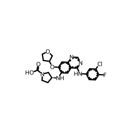 O=C(O)N1CC[C@H](Nc2cc3c(Nc4ccc(F)c(Cl)c4)ncnc3cc2OC2CCOC2)C1